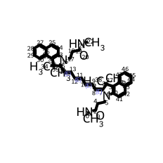 CNC(=O)CCN1/C(=C/C=C/C=C/C=C/C2=[N+](CCC(=O)NC)c3ccc4ccccc4c3C2(C)C)C(C)(C)c2c1ccc1ccccc21